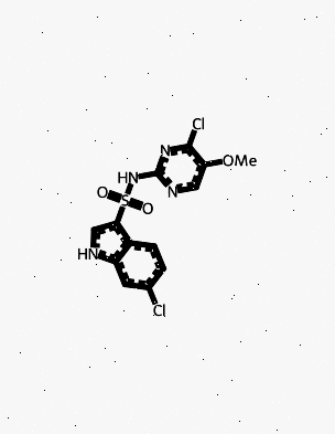 COc1cnc(NS(=O)(=O)c2c[nH]c3cc(Cl)ccc23)nc1Cl